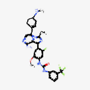 CNC1CC=C(c2cnc(N)c3c(-c4cc(OC)c(NC(=O)Nc5cccc(C(F)(F)F)c5)cc4F)nc(C)n23)CC1